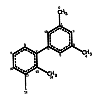 Cc1cc(C)cc(-c2cccc(I)c2C)c1